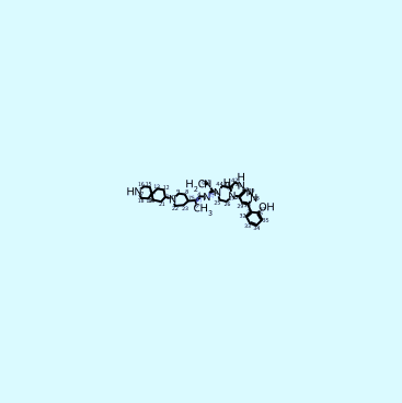 C=N/C(=N\C=C(/C)C1CCN(C2CCC3(CCNCC3)CC2)CC1)N1CCN2c3cc(-c4ccccc4O)nnc3NC[C@H]2C1